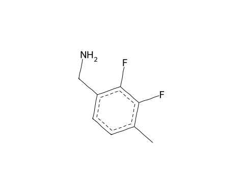 Cc1ccc(CN)c(F)c1F